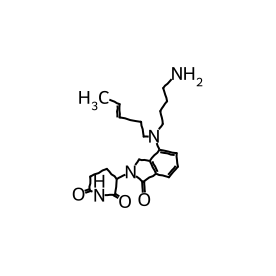 C/C=C/CCN(CCCCN)c1cccc2c1CN(C1CCC(=O)NC1=O)C2=O